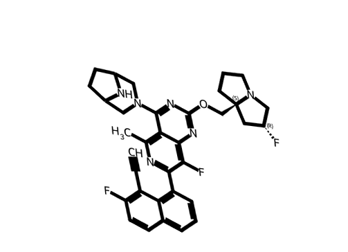 C#Cc1c(F)ccc2cccc(-c3nc(C)c4c(N5CC6CCC(C5)N6)nc(OC[C@@]56CCCN5C[C@H](F)C6)nc4c3F)c12